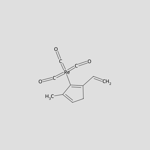 C=CC1=[C]([Re](=[C]=O)(=[C]=O)=[C]=O)C(C)=CC1